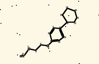 CCCOCCOc1ccc(C2CCCCC2)cc1